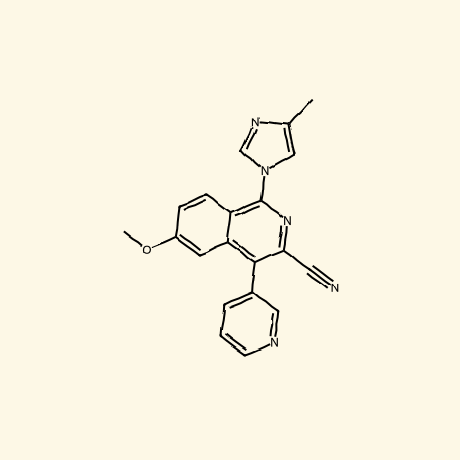 COc1ccc2c(-n3cnc(C)c3)nc(C#N)c(-c3cccnc3)c2c1